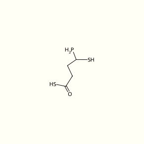 O=C(S)CCC(P)S